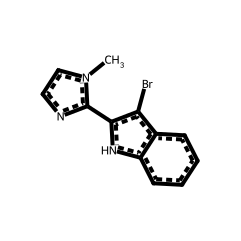 Cn1ccnc1-c1[nH]c2ccccc2c1Br